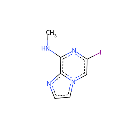 CNc1nc(I)cn2ccnc12